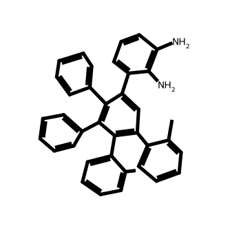 Cc1ccccc1-c1cc(-c2cccc(N)c2N)c(-c2ccccc2)c(-c2ccccc2)c1-c1ccccc1C